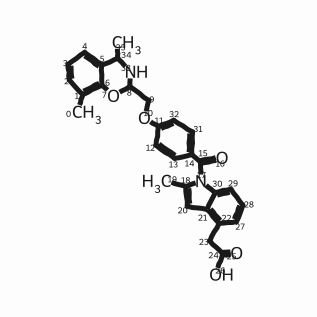 Cc1cccc2c1OC(COc1ccc(C(=O)n3c(C)cc4c(CC(=O)O)cccc43)cc1)NC2C